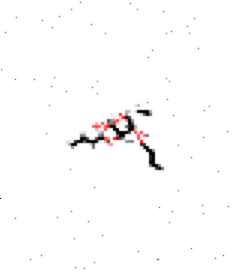 CCCCO[C@@H]1[C@@H](CC)OC(O)[C@]1(C)OCCCC